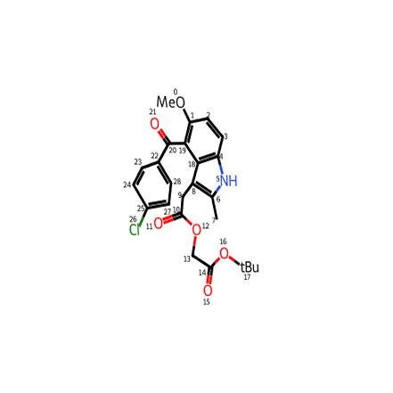 COc1ccc2[nH]c(C)c(CC(=O)OCC(=O)OC(C)(C)C)c2c1C(=O)c1ccc(Cl)cc1